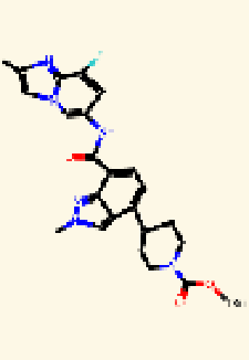 Cc1cn2cc(NC(=O)c3ccc(C4CCN(C(=O)OC(C)(C)C)CC4)c4cn(C)nc34)cc(F)c2n1